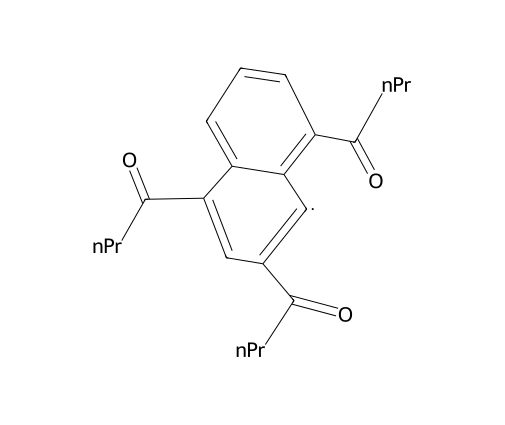 CCCC(=O)c1[c]c2c(C(=O)CCC)cccc2c(C(=O)CCC)c1